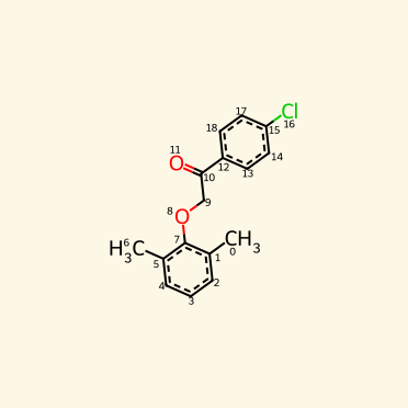 Cc1cccc(C)c1OCC(=O)c1ccc(Cl)cc1